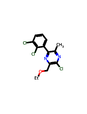 CCOCc1nc(-c2cccc(Cl)c2Cl)c(C)nc1Cl